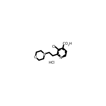 Cl.O=C(O)c1ccnc(CCN2CCOCC2)c1Cl